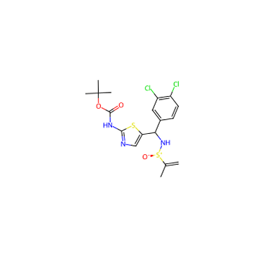 C=C(C)[S@@+]([O-])NC(c1ccc(Cl)c(Cl)c1)c1cnc(NC(=O)OC(C)(C)C)s1